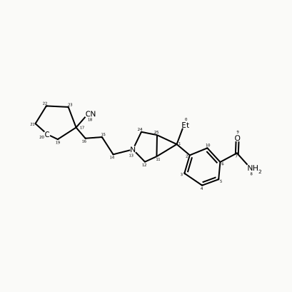 CCC1(c2cccc(C(N)=O)c2)C2CN(CCCC3(C#N)CCCCC3)CC21